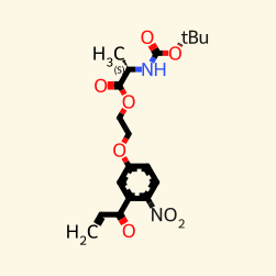 C=CC(=O)c1cc(OCCOC(=O)[C@H](C)NC(=O)OC(C)(C)C)ccc1[N+](=O)[O-]